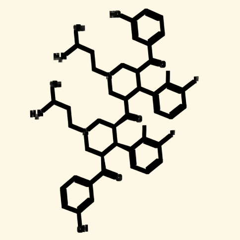 Cc1c(F)cccc1C1C(C(=O)c2cccc(O)c2)CN(CCC(N)C(C)(C)C)CC1C(=O)[C@@H]1CN(CCC(N)C(C)(C)C)C[C@H](C(=O)c2cccc(O)c2)[C@@H]1c1cccc(F)c1C